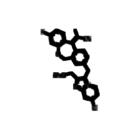 COCc1nc2cc(Cl)ccn2c1Cc1ccc2c(c1)COc1cc(F)ccc1/C2=C(\C)C#N